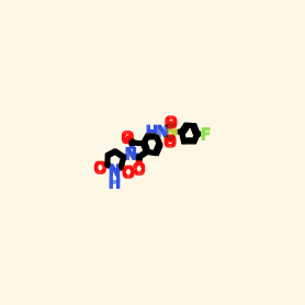 O=C1CCC(N2C(=O)c3ccc(NS(=O)(=O)c4ccc(F)cc4)cc3C2=O)C(=O)N1